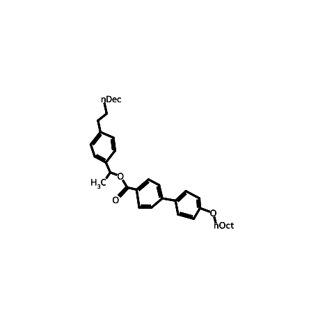 CCCCCCCCCCCCc1ccc(C(C)OC(=O)c2ccc(-c3ccc(OCCCCCCCC)cc3)cc2)cc1